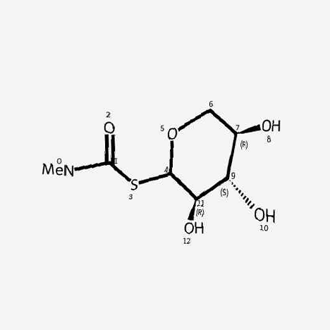 CNC(=O)SC1OC[C@@H](O)[C@H](O)[C@H]1O